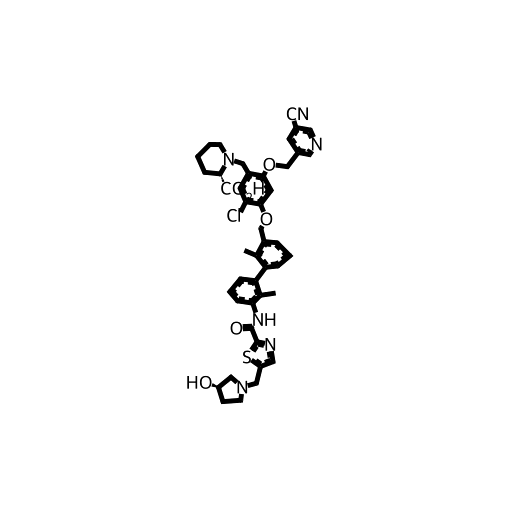 Cc1c(COc2cc(OCc3cncc(C#N)c3)c(CN3CCCC[C@H]3C(=O)O)cc2Cl)cccc1-c1cccc(NC(=O)c2ncc(CN3CC[C@@H](O)C3)s2)c1C